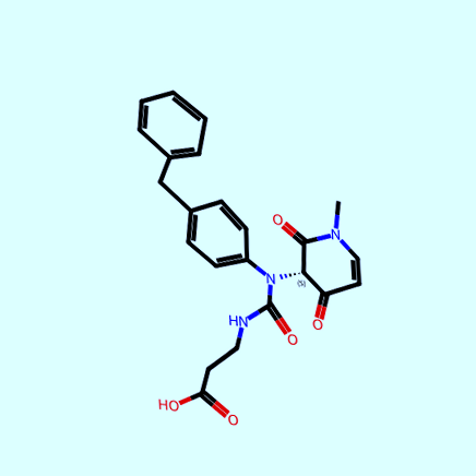 CN1C=CC(=O)[C@H](N(C(=O)NCCC(=O)O)c2ccc(Cc3ccccc3)cc2)C1=O